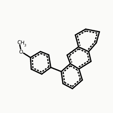 COc1ccc(-c2cccc3cc4ccccc4cc23)cc1